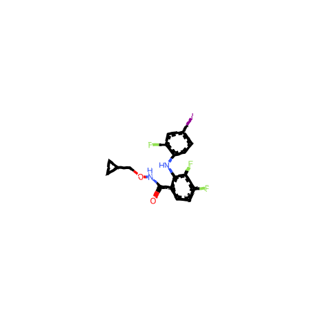 O=C(NOCC1CC1)c1ccc(F)c(F)c1Nc1ccc(I)cc1F